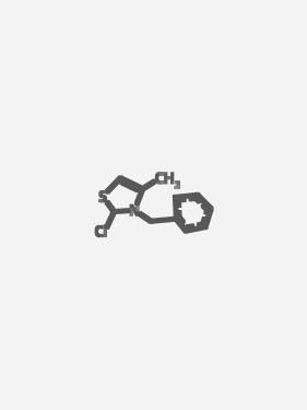 CC1=CSC(Cl)N1Cc1ccccc1